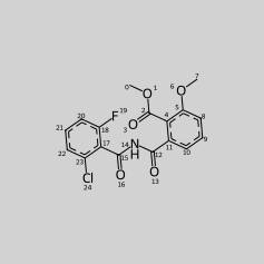 COC(=O)c1c(OC)cccc1C(=O)NC(=O)c1c(F)cccc1Cl